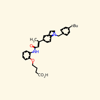 CCCCc1ccc(Cn2ccc3cc(C(C)=CC(=O)Nc4ccccc4OCCCC(=O)O)ccc32)cc1